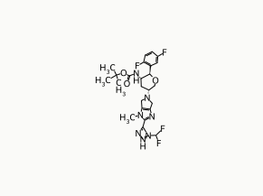 Cn1c(-c2n[nH]n2C(F)F)nc2c1CN([C@H]1CO[C@H](c3cc(F)ccc3F)[C@@H](NC(=O)OC(C)(C)C)C1)C2